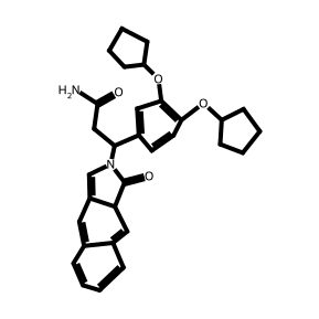 NC(=O)CC(c1ccc(OC2CCCC2)c(OC2CCCC2)c1)N1C=C2C=c3ccccc3=CC2C1=O